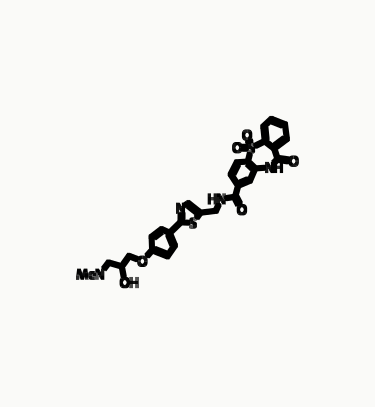 CNCC(O)COc1ccc(-c2ncc(CNC(=O)c3ccc4c(c3)NC(=O)c3ccccc3S4(=O)=O)s2)cc1